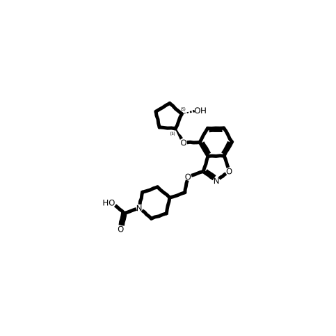 O=C(O)N1CCC(COc2noc3cccc(O[C@H]4CCC[C@@H]4O)c23)CC1